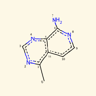 Cc1ncnc2c(N)nccc12